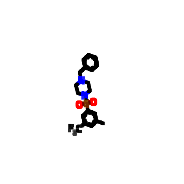 Cc1cc(C(F)(F)F)cc(S(=O)(=O)N2CCN(Cc3ccccc3)CC2)c1